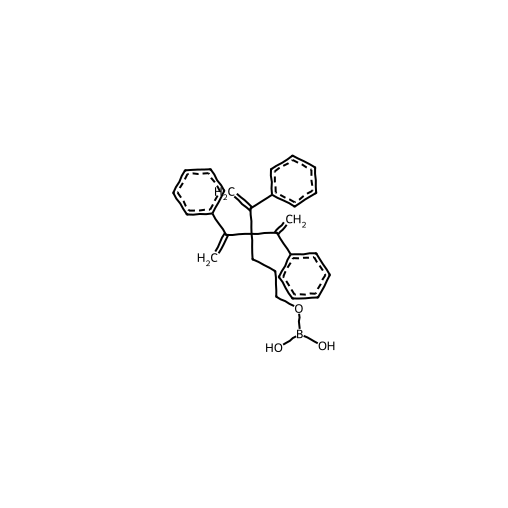 C=C(c1ccccc1)C(CCCOB(O)O)(C(=C)c1ccccc1)C(=C)c1ccccc1